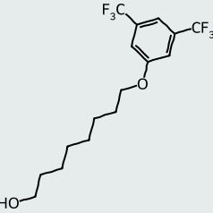 OCCCCCCCCOc1cc(C(F)(F)F)cc(C(F)(F)F)c1